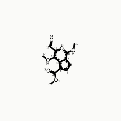 COC(=O)c1ccc2c(OC)oc(C=O)c(OC)c1-2